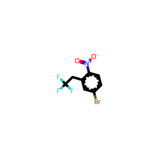 O=[N+]([O-])c1ccc(Br)cc1CC(F)(F)F